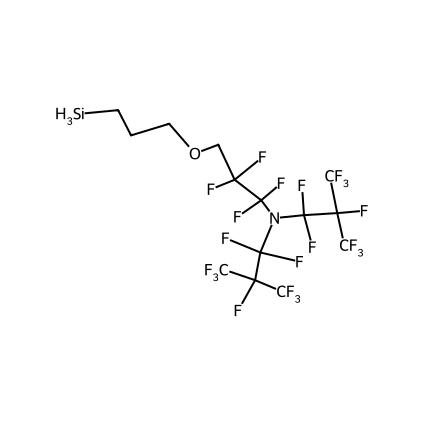 FC(F)(F)C(F)(C(F)(F)F)C(F)(F)N(C(F)(F)C(F)(F)COCCC[SiH3])C(F)(F)C(F)(C(F)(F)F)C(F)(F)F